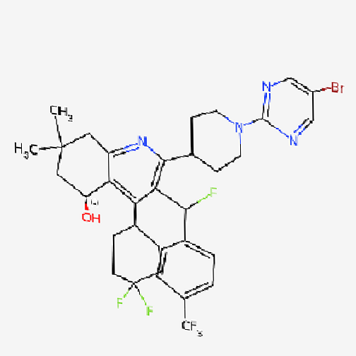 CC1(C)Cc2nc(C3CCN(c4ncc(Br)cn4)CC3)c(C(F)c3ccc(C(F)(F)F)cc3)c(C3CCC(F)(F)CC3)c2[C@@H](O)C1